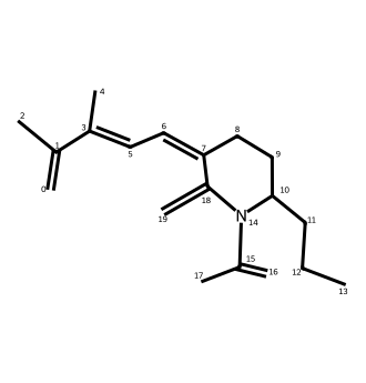 C=C(C)/C(C)=C/C=C1/CCC(CCC)N(C(=C)C)C1=C